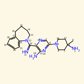 CC1(N)CCN(c2cnc(C(=N)N3CCCCc4ccccc43)c(N)n2)CC1